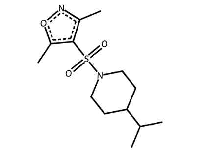 Cc1noc(C)c1S(=O)(=O)N1CCC(C(C)C)CC1